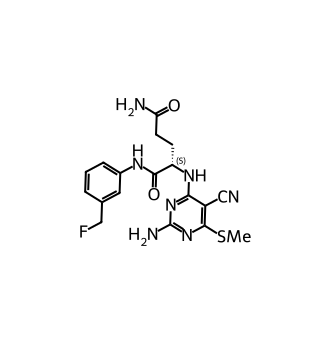 CSc1nc(N)nc(N[C@@H](CCC(N)=O)C(=O)Nc2cccc(CF)c2)c1C#N